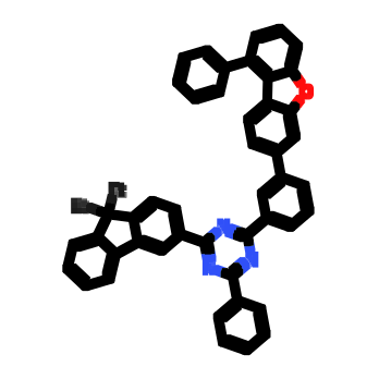 CCC1(CC)c2ccccc2-c2cc(-c3nc(-c4ccccc4)nc(-c4cccc(-c5ccc6c(c5)oc5cccc(-c7ccccc7)c56)c4)n3)ccc21